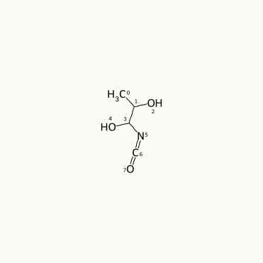 CC(O)C(O)N=C=O